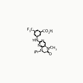 CC(C)N1CC(=O)N(C)c2cnc(Nc3cc(C(=O)O)cc(C(F)(F)F)c3)nc21